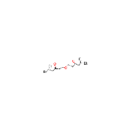 CCC(CC)CC(=O)CCOCCC(=O)CC(CC)CC